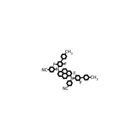 Cc1ccc(-c2cc(F)c(N(c3ccc(C#N)cc3)c3ccc4ccc5c(N(c6ccc(C#N)cc6)c6cc(F)c(-c7ccc(C)cc7)cc6F)ccc6ccc3c4c65)cc2F)cc1